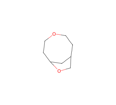 C1CC2COC(CCO1)C2